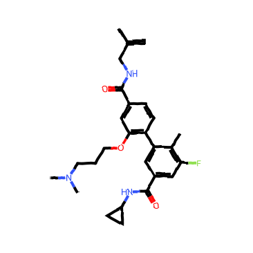 C=C(C)CNC(=O)c1ccc(-c2cc(C(=O)NC3CC3)cc(F)c2C)c(OCCCN(C)C)c1